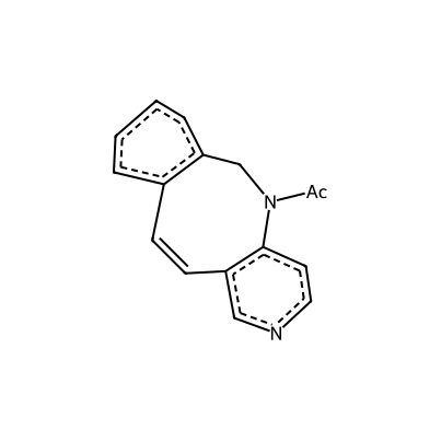 CC(=O)N1Cc2ccccc2C=Cc2cnccc21